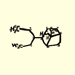 [CH2]CC(CC)C1CCC2CC1C2(C)C